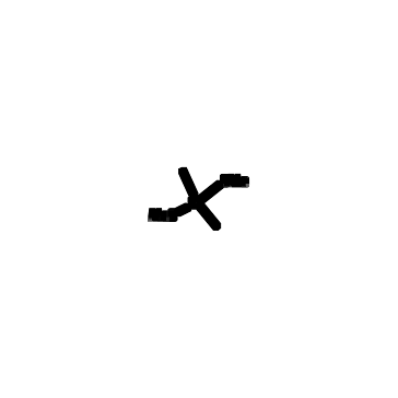 CS[Si](C)(C)SC